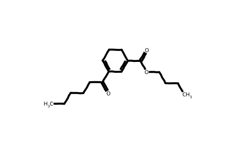 CCCCCC(=O)C1=CCCC(C(=O)OCCCC)=C1